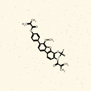 C=C(C)C(=O)Oc1ccc(-c2ccc3c(oc4c(OC(F)(F)F)c(OC(=O)C(=C)C)ccc43)c2OC)cc1